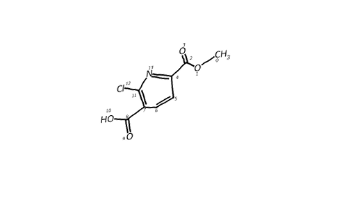 COC(=O)c1ccc(C(=O)O)c(Cl)n1